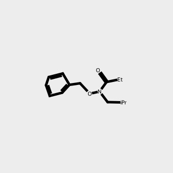 CCC(=O)N(CC(C)C)OCc1ccccc1